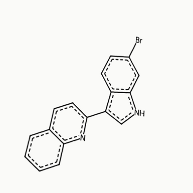 Brc1ccc2c(-c3ccc4ccccc4n3)c[nH]c2c1